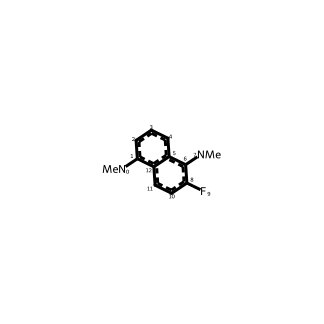 CNc1cccc2c(NC)c(F)ccc12